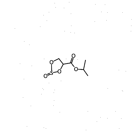 CC(C)OC(=O)C1COS(=O)O1